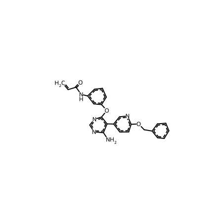 C=CC(=O)Nc1cccc(Oc2ncnc(N)c2-c2ccc(OCc3ccccc3)nc2)c1